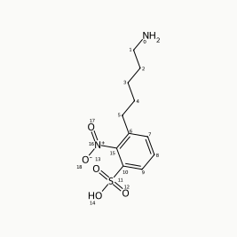 NCCCCCc1cccc(S(=O)(=O)O)c1[N+](=O)[O-]